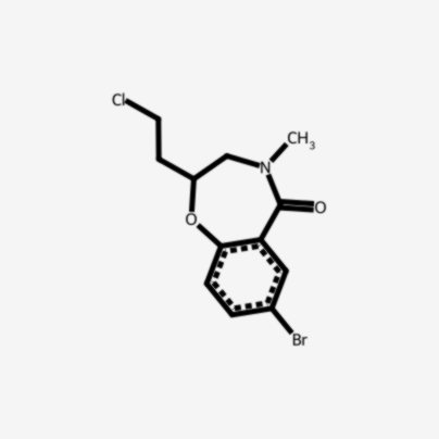 CN1CC(CCCl)Oc2ccc(Br)cc2C1=O